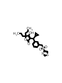 CCCC1(CCC)OC(=O)C(C(c2cccc(CS(=O)(=O)c3cscn3)c2)C2CC2)=C1O